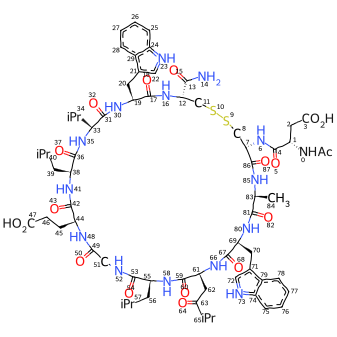 CC(=O)N[C@@H](CC(=O)O)C(=O)N[C@H]1CSSC[C@@H](C(N)=O)NC(=O)[C@H](Cc2c[nH]c3ccccc23)NC(=O)[C@H](C(C)C)NC(=O)[C@H](CC(C)C)NC(=O)[C@H](CCC(=O)O)NC(=O)CNC(=O)[C@H](CC(C)C)NC(=O)[C@H](CC(=O)C(C)C)NC(=O)[C@H](Cc2c[nH]c3ccccc23)NC(=O)[C@H](C)NC1=O